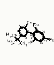 CC(C)(C)c1ccc(F)c(-c2c(F)cc(F)cc2F)c1